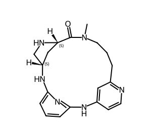 CN1CCCc2cc(ccn2)Nc2cccc(n2)N[C@@H]2CN[C@@H](C2)C1=O